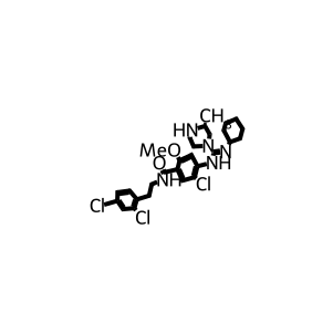 COc1cc(N/C(=N/C2CCCCC2)N2CCN[C@@H](C)C2)c(Cl)cc1C(=O)NCCc1ccc(Cl)cc1Cl